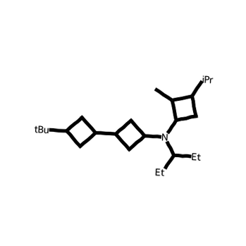 CCC(CC)N(C1CC(C2CC(C(C)(C)C)C2)C1)C1CC(C(C)C)C1C